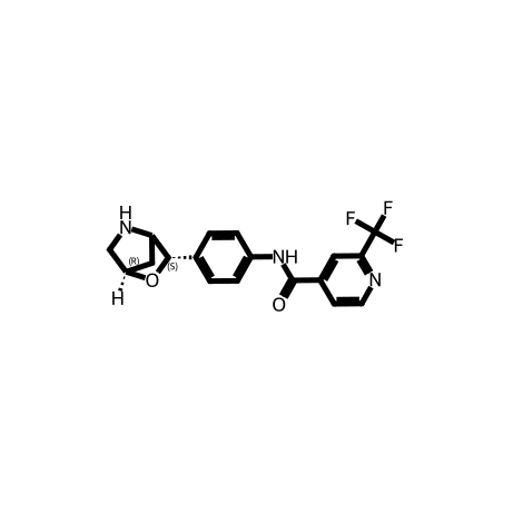 O=C(Nc1ccc([C@@H]2O[C@H]3CNC2C3)cc1)c1ccnc(C(F)(F)F)c1